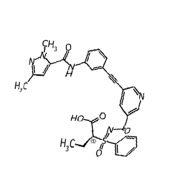 CC[C@@H](C(=O)O)S(=O)(=NC(=O)c1cncc(C#Cc2cccc(NC(=O)c3cc(C)nn3C)c2)c1)c1ccccc1